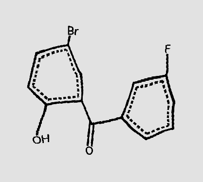 O=C(c1cccc(F)c1)c1cc(Br)ccc1O